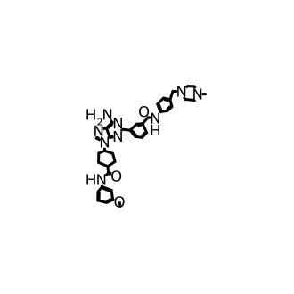 COc1cccc(NC(=O)C2CCC(n3cnc4c(N)nc(-c5cccc(C(=O)Nc6ccc(CN7CCN(C)CC7)cc6)c5)nc43)CC2)c1